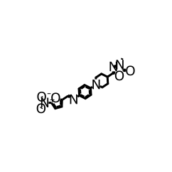 Cn1nc(C2CCN(c3ccc(N=Cc4ccc([N+](=O)[O-])o4)cc3)CC2)oc1=O